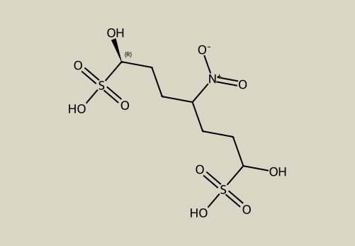 O=[N+]([O-])C(CCC(O)S(=O)(=O)O)CC[C@H](O)S(=O)(=O)O